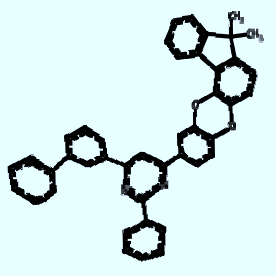 CC1(C)c2ccccc2-c2c1ccc1c2Oc2cc(-c3cc(-c4cccc(-c5ccccc5)c4)nc(-c4ccccc4)n3)ccc2O1